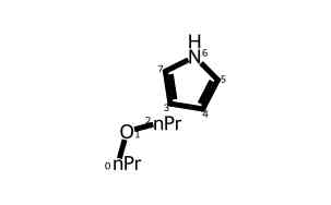 CCCOCCC.c1cc[nH]c1